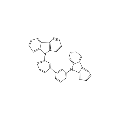 c1ccc2c(c#1)c1ccccc1n2-c1cccc(-c2cccc(-n3c4ccccc4c4ccccc43)c2)c1